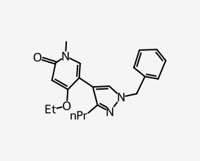 CCCc1nn(Cc2ccccc2)cc1-c1cn(C)c(=O)cc1OCC